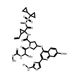 C=CC1CC1(NC(=O)C1CC(Oc2cc(-c3csc(NC(C)C)n3)nc3cc(OC)ccc23)CN1C(=O)C(NC(=O)OC(C)(C)C)C(C)(C)C)C(=O)N(C)S(=O)(=O)C1(C2CC2)CC1